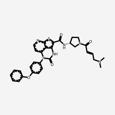 CN(C)C/C=C/C(=O)N1CC[C@@H](NC(=O)c2sc3nccc4c3c2NC(=O)N4c2ccc(Oc3ccccc3)cc2)C1